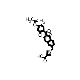 Cc1cc(OC(C)C)ccc1-c1onc2c1CCc1cc(CN3CC(C(=O)O)C3)ccc1-2